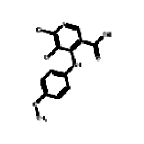 COc1ccc(Nc2c(C(=O)O)cnc(Cl)c2Cl)cc1